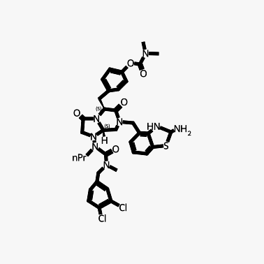 CCCN(C(=O)N(C)Cc1ccc(Cl)c(Cl)c1)N1CC(=O)N2[C@@H](Cc3ccc(OC(=O)N(C)C)cc3)C(=O)N(Cc3cccc4c3NC(N)S4)C[C@@H]21